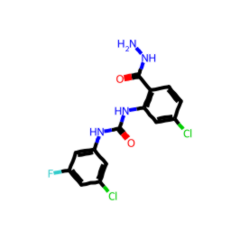 NNC(=O)c1ccc(Cl)cc1NC(=O)Nc1cc(F)cc(Cl)c1